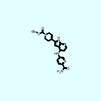 CC(C)(C)OC(=O)N1CC=C(c2cc3c(Nc4ccc(C(N)=O)nc4)ccnc3[nH]2)CC1